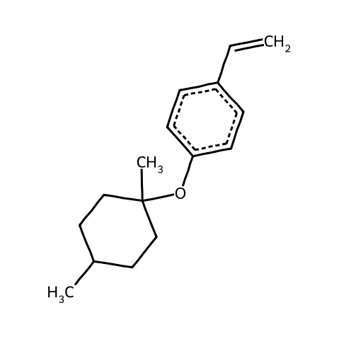 C=Cc1ccc(OC2(C)CCC(C)CC2)cc1